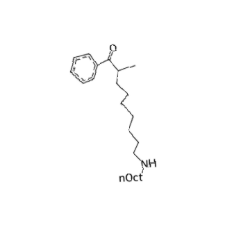 CCCCCCCCNCCCCCCCC(C)C(=O)c1ccccc1